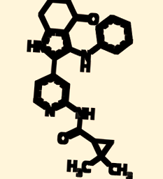 CC1(C)CC1C(=O)Nc1cc(-c2[nH]c3c(c2Nc2ccccc2)C(=O)CCC3)ccn1